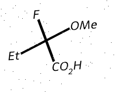 CCC(F)(OC)C(=O)O